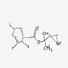 CC(C)(OC(=O)c1cc(I)cc(I)c1I)C1CN1